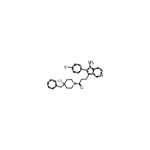 Cn1c(-c2ccc(Cl)cc2)c(CCC(=O)N2CCC(O)(Cc3ccccc3)CC2)c2cnccc21